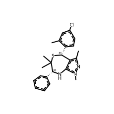 Cc1cc(Cl)ccc1[C@H]1SC(C)(C)[C@@H](c2ccccc2)Nc2c1c(C)nn2C